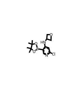 CC1(C)OB(c2cnc(Cl)cc2NC2COC2)OC1(C)C